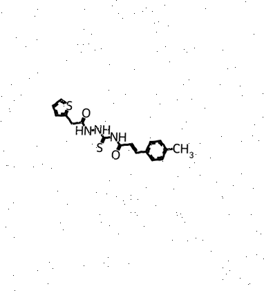 Cc1ccc(C=CC(=O)NC(=S)NNC(=O)Cc2cccs2)cc1